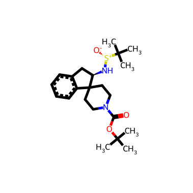 CC(C)(C)OC(=O)N1CCC2(CC1)c1ccccc1C[C@H]2N[S@+]([O-])C(C)(C)C